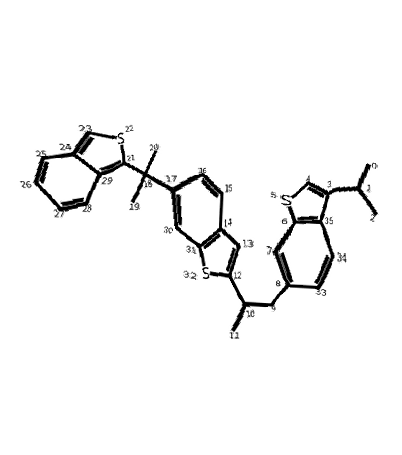 CC(C)c1csc2cc(CC(C)c3cc4ccc(C(C)(C)c5scc6ccccc56)cc4s3)ccc12